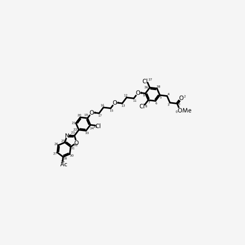 COC(=O)CCc1cc(Cl)c(OCCCOCCCOc2ccc(-c3nc4ccc(C(C)=O)cc4o3)cc2Cl)c(Cl)c1